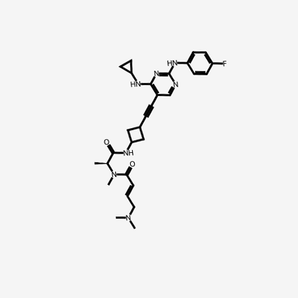 C[C@@H](C(=O)NC1CC(C#Cc2cnc(Nc3ccc(F)cc3)nc2NC2CC2)C1)N(C)C(=O)/C=C/CN(C)C